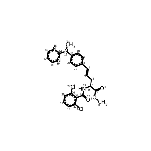 COC(=O)[C@H](CC=Cc1ccc(N(C)c2ncccn2)cc1)NC(=O)c1c(Cl)cccc1Cl